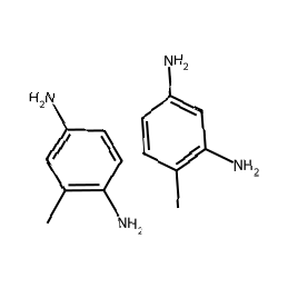 Cc1cc(N)ccc1N.Cc1ccc(N)cc1N